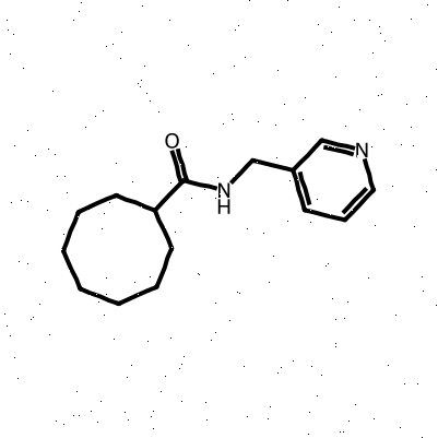 O=C(NCc1cccnc1)C1CCCCCCC1